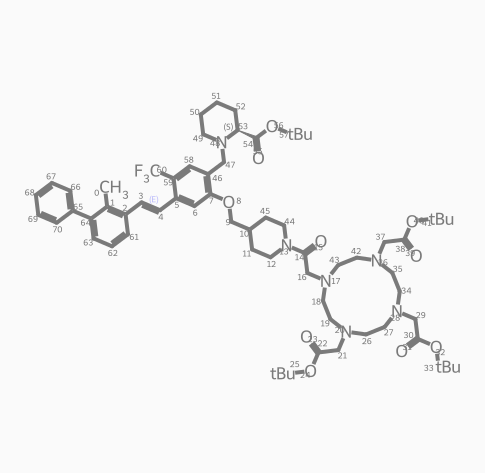 Cc1c(/C=C/c2cc(OCC3CCN(C(=O)CN4CCN(CC(=O)OC(C)(C)C)CCN(CC(=O)OC(C)(C)C)CCN(CC(=O)OC(C)(C)C)CC4)CC3)c(CN3CCCC[C@H]3C(=O)OC(C)(C)C)cc2C(F)(F)F)cccc1-c1ccccc1